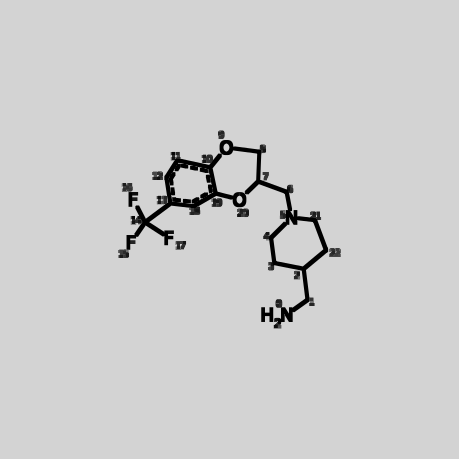 NCC1CCN(CC2COc3ccc(C(F)(F)F)cc3O2)CC1